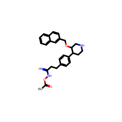 CC(C)(C)C(=O)ONC(=N)CCc1ccc(C2CCNCC2OCc2ccc3ccccc3c2)cc1